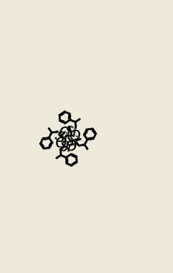 CC(C[Si]1(C)O[Si](C)(CC(C)c2ccccc2)O[Si](C)(CC(C)c2ccccc2)O[Si](C)(CC(C)c2ccccc2)O1)c1ccccc1